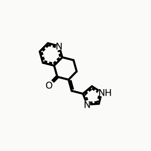 O=C1/C(=C/c2c[nH]cn2)CCc2ncccc21